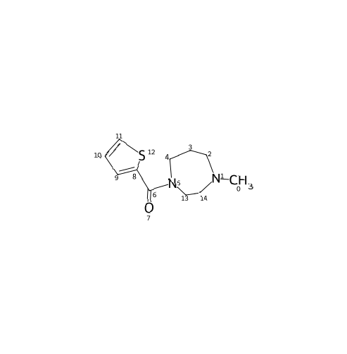 CN1CCCN(C(=O)c2cccs2)CC1